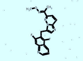 CON=C(C)c1ccc2ncc(Cc3c(F)cc4ncccc4c3F)n2n1